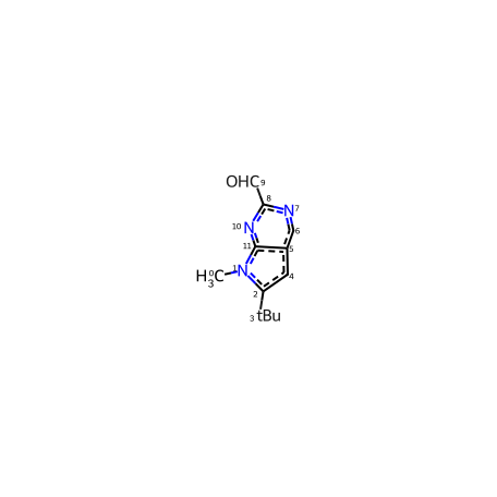 Cn1c(C(C)(C)C)cc2cnc(C=O)nc21